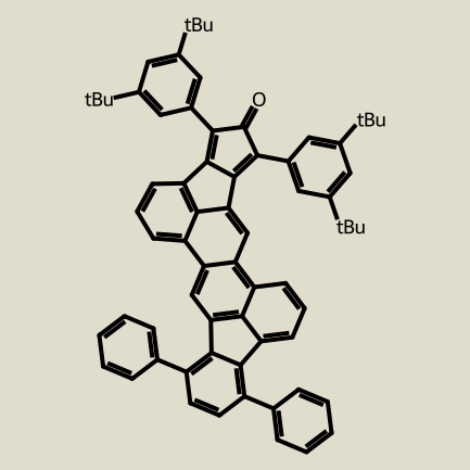 CC(C)(C)c1cc(-c2c(=O)c(-c3cc(C(C)(C)C)cc(C(C)(C)C)c3)c3c4cc5c(cc6c7c(-c8ccccc8)ccc(-c8ccccc8)c7c7cccc5c76)c5cccc(c23)c54)cc(C(C)(C)C)c1